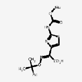 CC(=O)C(C)(C)O/N=C(\C(=O)O)c1csc(NC(=O)OC(C)(C)C)n1